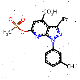 Cc1cccc(-n2nc(C(C)C)c3c(C(=O)O)cc(OS(=O)(=O)C(F)(F)F)nc32)c1